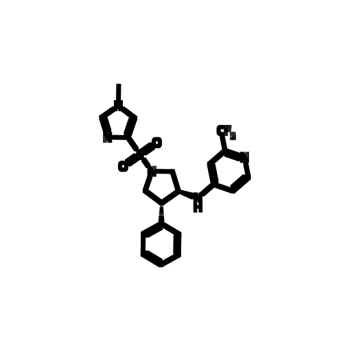 Cn1cnc(S(=O)(=O)N2C[C@@H](Nc3ccnc(C(F)(F)F)c3)[C@H](c3ccccc3)C2)c1